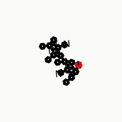 N#Cc1c(-n2c3ccccc3c3cc(-c4ccccc4)ccc32)cc(-c2ccncc2)cc1-n1c2ccc(-c3ccccc3)cc2c2cc(-c3cc4c5ccc(-c6ccccc6)cc5n(-c5cc(-c6ccncc6)cc(-n6c7cc(-c8ccccc8)ccc7c7ccc(-c8ccccc8)cc76)c5C#N)c4cc3-c3ccccc3)ccc21